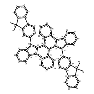 CC1(C)c2ccccc2-c2ccc(-n3c4cccnc4c4c5ccccc5c5c(c6ccccc6c6c7ncccc7n(-c7ccc8c(c7)C(C)(C)c7ccccc7-8)c65)c43)cc21